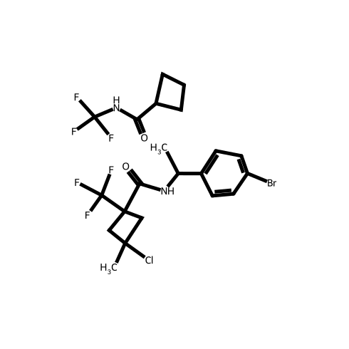 CC(NC(=O)C1(C(F)(F)F)CC(C)(Cl)C1)c1ccc(Br)cc1.O=C(NC(F)(F)F)C1CCC1